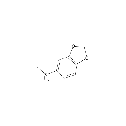 C[SiH2]c1ccc2c(c1)OCO2